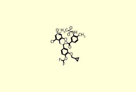 Cc1ccc(C(=O)O[C@@H](Cc2c(Cl)c[n+]([O-])cc2Cl)c2ccc(OC(F)F)c(OCC3CC3)c2)cc1NS(C)(=O)=O